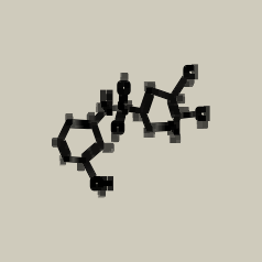 O=S(=O)(Nc1cccc(O)c1)c1cnc(Cl)c(Cl)c1